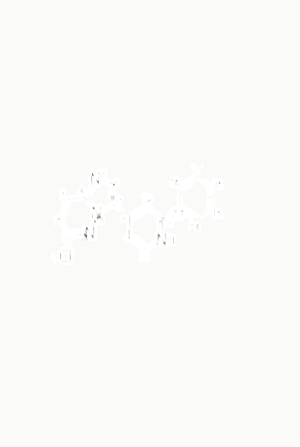 Clc1ccc2ncc(-c3ccnc(-c4ccccc4)c3)n2n1